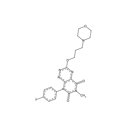 Cn1c(=O)c2nc(OCCCN3CCOCC3)nnc2n(-c2ccc(F)cc2)c1=O